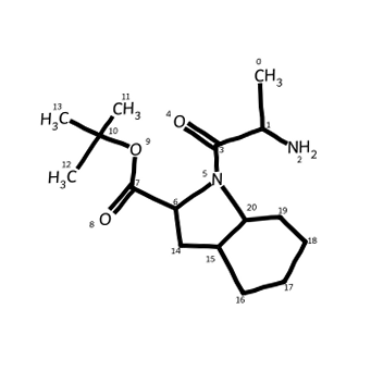 CC(N)C(=O)N1C(C(=O)OC(C)(C)C)CC2CCCCC21